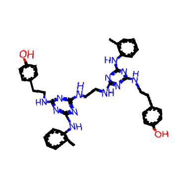 Cc1ccccc1Nc1nc(NCCNc2nc(NCCc3ccc(O)cc3)nc(Nc3ccccc3C)n2)nc(NCCc2ccc(O)cc2)n1